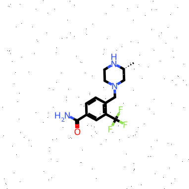 C[C@@H]1CN(Cc2ccc(C(N)=O)cc2C(F)(F)F)CCN1